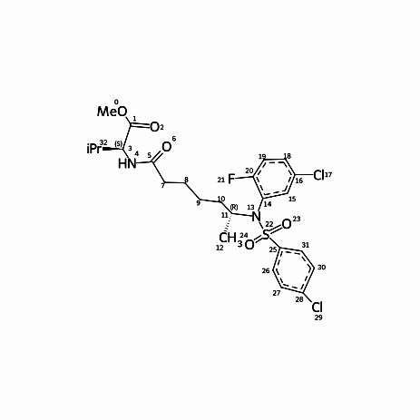 COC(=O)[C@@H](NC(=O)CCCC[C@@H](C)N(c1cc(Cl)ccc1F)S(=O)(=O)c1ccc(Cl)cc1)C(C)C